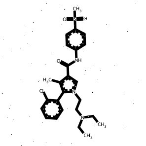 CCN(CC)CCn1cc(C(=O)Nc2ccc(S(C)(=O)=O)cc2)c(C)c1-c1ccccc1Cl